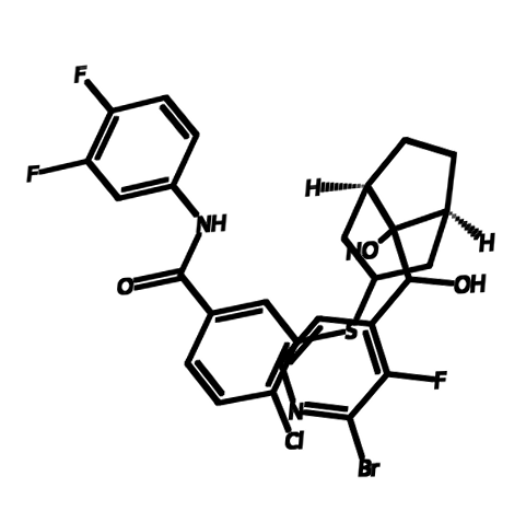 O=C(Nc1ccc(F)c(F)c1)c1ccc(Cl)c(SC2C[C@H]3CC[C@@H](C2)C3(O)C(O)c2ccnc(Br)c2F)c1